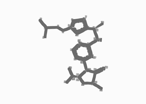 CC(C)CCn1cnc([C@H](C)Nc2nccc(N3C(=O)N(C)C[C@@H]3C(C)C)n2)c1